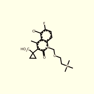 Cc1c(C2(C(=O)O)CC2)c(=O)n(COCC[Si](C)(C)C)c2ccc(F)c(Cl)c12